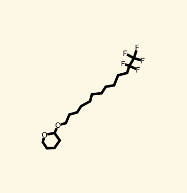 FC(F)(F)C(F)(F)CCCCCCCCCCCOC1CCCCO1